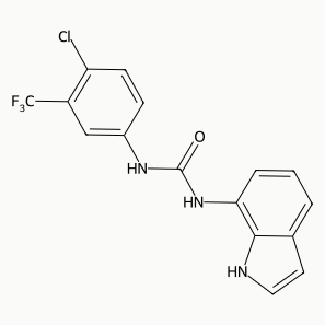 O=C(Nc1ccc(Cl)c(C(F)(F)F)c1)Nc1cccc2cc[nH]c12